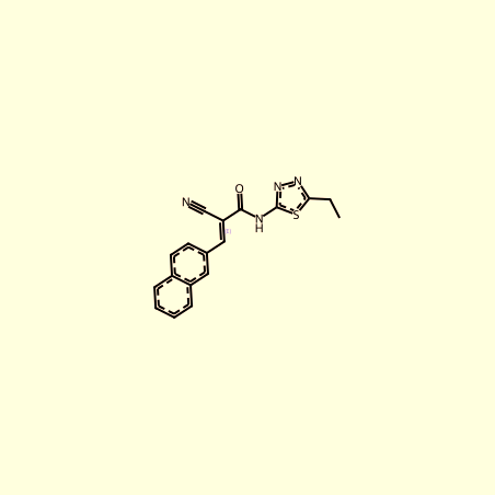 CCc1nnc(NC(=O)/C(C#N)=C/c2ccc3ccccc3c2)s1